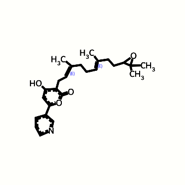 C/C(=C\Cc1c(O)cc(-c2cccnc2)oc1=O)CC/C=C(\C)CCC1OC1(C)C